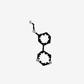 FCOc1cccc(-c2cn[c]nc2)c1